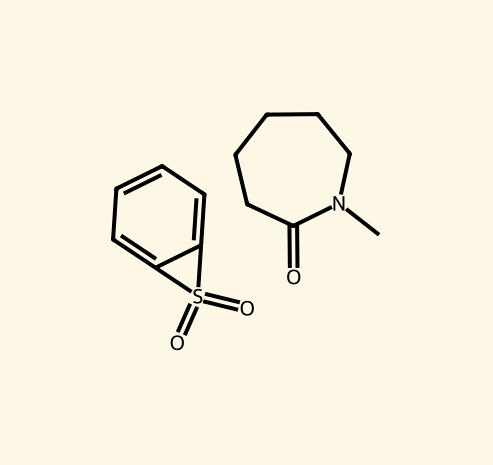 CN1CCCCCC1=O.O=S1(=O)c2ccccc21